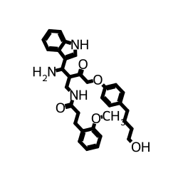 COc1ccccc1CCC(=O)NCC(C(=O)COc1ccc(CCCCO)cc1)C(N)c1c[nH]c2ccccc12